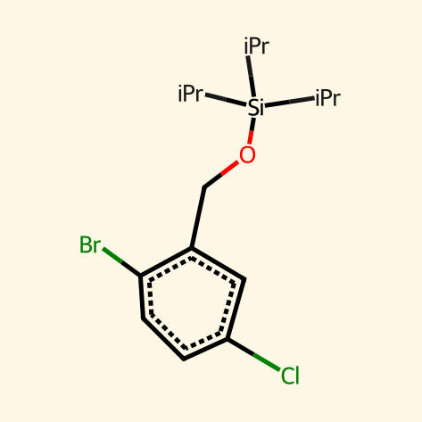 CC(C)[Si](OCc1cc(Cl)ccc1Br)(C(C)C)C(C)C